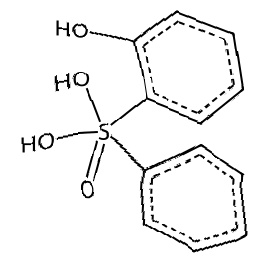 O=S(O)(O)(c1ccccc1)c1ccccc1O